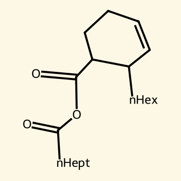 CCCCCCCC(=O)OC(=O)C1CCC=CC1CCCCCC